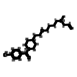 C=CCN(C)CCCCOCCC1CCN(C(=O)c2ccc(Cl)cc2)CC1